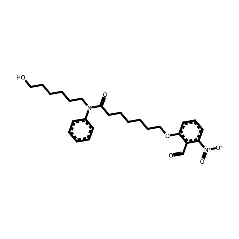 O=Cc1c(OCCCCCCC(=O)N(CCCCCCO)c2ccccc2)cccc1[N+](=O)[O-]